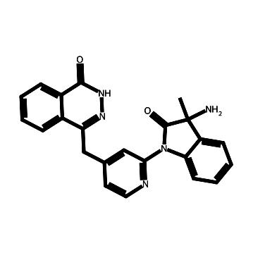 CC1(N)C(=O)N(c2cc(Cc3n[nH]c(=O)c4ccccc34)ccn2)c2ccccc21